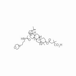 C=C(C)[C@@H]1CC[C@]2(CC(=O)NCCCN3CCOCC3)CC[C@]3(C)[C@H](CC[C@@H]4[C@@]5(C)CC[C@H](OC(=O)CC(C)(C)C(=O)O)C(C)(C)[C@@H]5CC[C@]43C)[C@@H]12